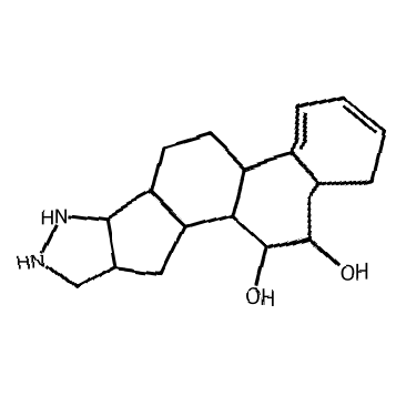 OC1C2CC=CC=C2C2CCC3C(CC4CNNC43)C2C1O